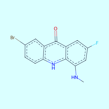 CNc1cc(F)cc2c(=O)c3cc(Br)ccc3[nH]c12